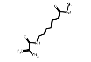 C=C(C)C(=O)NCCCCCCC(=O)NS